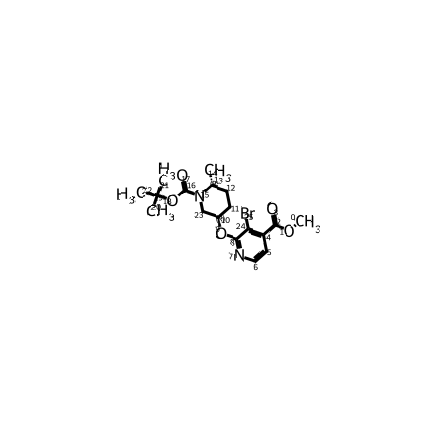 COC(=O)c1ccnc(O[C@@H]2CC[C@@H](C)N(C(=O)OC(C)(C)C)C2)c1Br